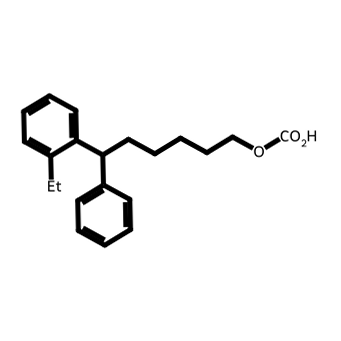 CCc1ccccc1C(CCCCCOC(=O)O)c1ccccc1